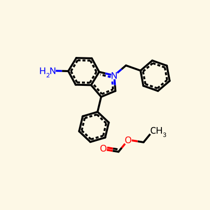 CCOC=O.Nc1ccc2c(c1)c(-c1ccccc1)cn2Cc1ccccc1